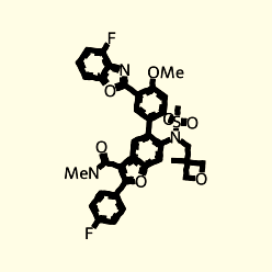 CNC(=O)c1c(-c2ccc(F)cc2)oc2cc(N(CC3(C)COC3)S(C)(=O)=O)c(-c3ccc(OC)c(-c4nc5c(F)cccc5o4)c3)cc12